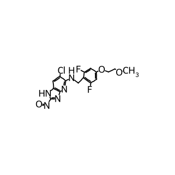 COCCOc1cc(F)c(CNc2nc3nc(N=O)[nH]c3cc2Cl)c(F)c1